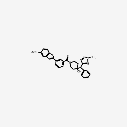 CC(=O)Nc1ccc2oc(-c3ccnc(C(=O)N4CCC(O)(C(c5ccccc5)c5nnn(C)n5)CC4)c3)nc2c1